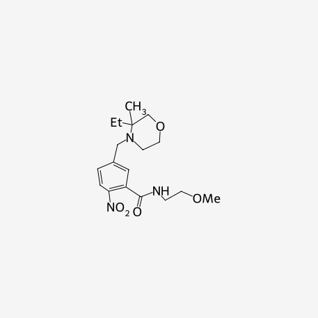 CCC1(C)COCCN1Cc1ccc([N+](=O)[O-])c(C(=O)NCCOC)c1